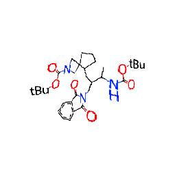 CC(NC(=O)OC(C)(C)C)C(CC1CCCC12CN(C(=O)OC(C)(C)C)C2)CN1C(=O)c2ccccc2C1=O